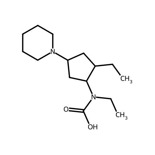 CCC1CC(N2CCCCC2)CC1N(CC)C(=O)O